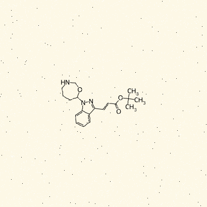 CC(C)(C)OC(=O)/C=C/c1nn(C2CCCNCO2)c2ccccc12